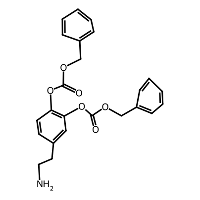 NCCc1ccc(OC(=O)OCc2ccccc2)c(OC(=O)OCc2ccccc2)c1